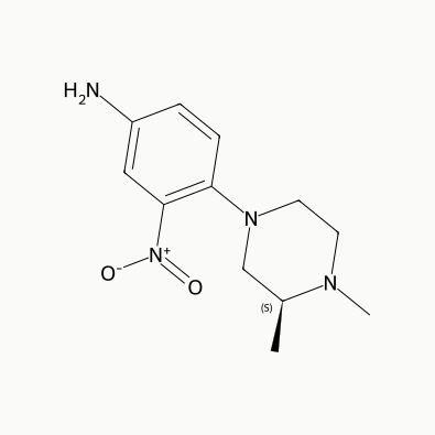 C[C@H]1CN(c2ccc(N)cc2[N+](=O)[O-])CCN1C